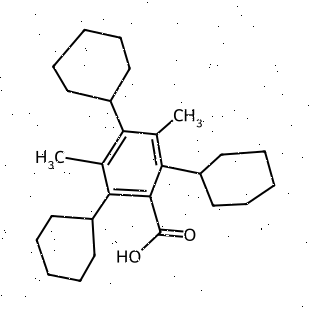 Cc1c(C2CCCCC2)c(C)c(C2CCCCC2)c(C(=O)O)c1C1CCCCC1